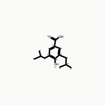 CC(C)Cc1cc(C(=O)O)cc(CC(C)C)c1O